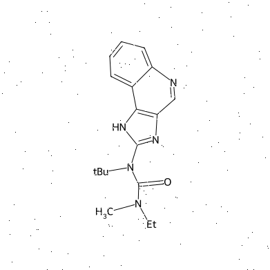 CCN(C)C(=O)N(c1nc2cnc3ccccc3c2[nH]1)C(C)(C)C